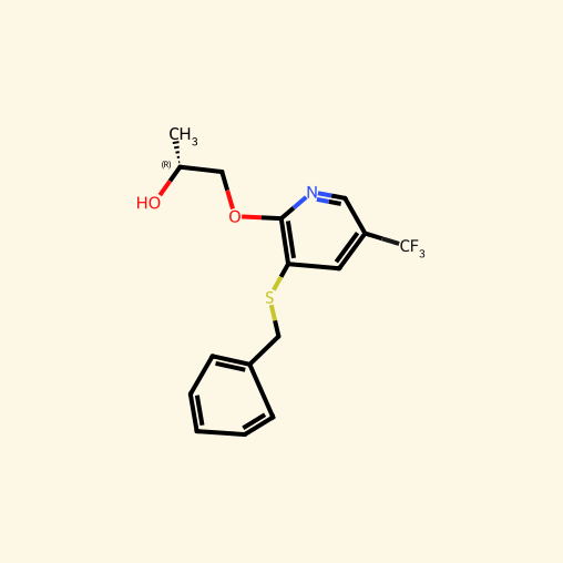 C[C@@H](O)COc1ncc(C(F)(F)F)cc1SCc1ccccc1